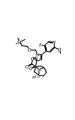 COc1cc(-c2cc(C(=O)N3C4CC[C@H]3CC(C(=O)O)C4)nn2COCC[Si](C)(C)C)c(F)cn1